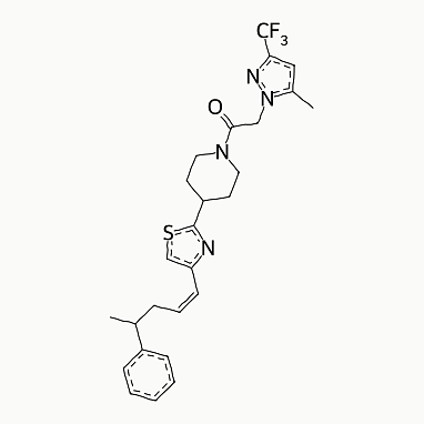 Cc1cc(C(F)(F)F)nn1CC(=O)N1CCC(c2nc(/C=C\CC(C)c3ccccc3)cs2)CC1